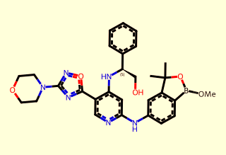 COB1OC(C)(C)c2cc(Nc3cc(N[C@H](CO)c4ccccc4)c(-c4nc(N5CCOCC5)no4)cn3)ccc21